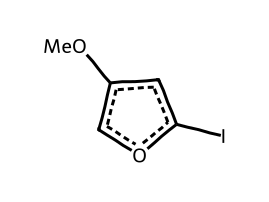 COc1coc(I)c1